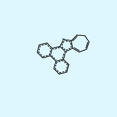 C1=CCC=c2nc3c4ccccc4c4ccccc4n3c2=C1